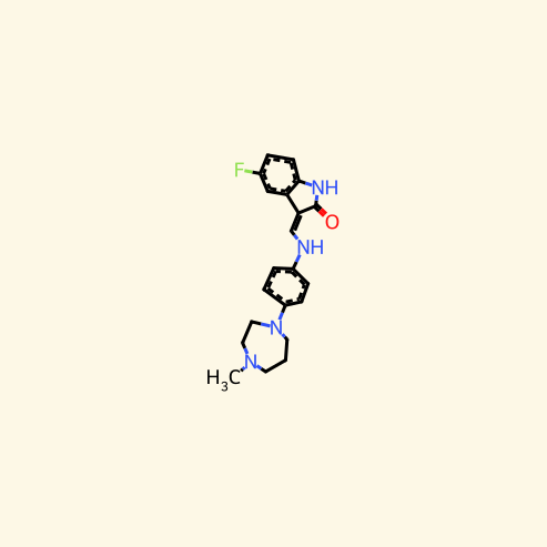 CN1CCCN(c2ccc(NC=C3C(=O)Nc4ccc(F)cc43)cc2)CC1